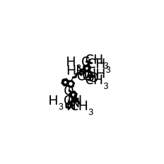 CN1CCC[C@@]1(C)c1nnc2ccc(O[C@@H]3CC[C@H](CCCC(=O)Nc4cc(NS(C)(=O)=O)cc(C(C)(C)C)c4)c4ccccc43)cn12